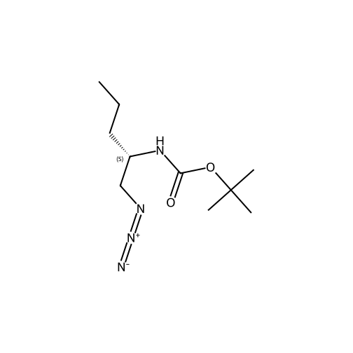 CCC[C@@H](CN=[N+]=[N-])NC(=O)OC(C)(C)C